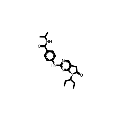 CCC(CC)N1C(=O)Cc2cnc(Nc3ccc(C(=O)NC(C)C)cc3)nc21